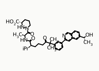 CC(C)[C@H](CCCC(=O)C(C)(C)c1cccc(-c2cc3cc([C@@H](C)O)ccc3cn2)c1)C(=O)N[C@@H](C)C(=O)N1CCC[C@@H](C(=O)O)N1